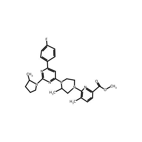 COC(=O)c1ccc(C)c(N2CCN(c3cc(-c4ccc(F)cc4)nc(N4CCCC4C)n3)C(C)C2)n1